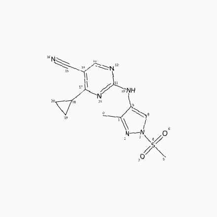 Cc1nn(S(C)(=O)=O)cc1Nc1ncc(C#N)c(C2CC2)n1